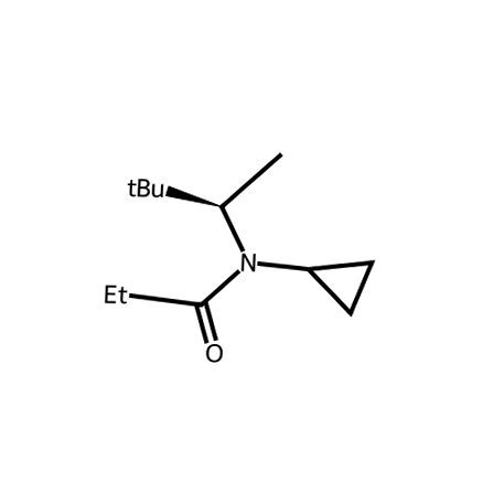 CCC(=O)N(C1CC1)[C@H](C)C(C)(C)C